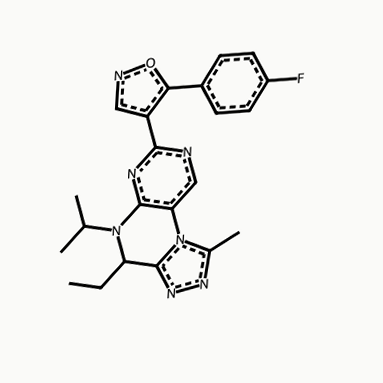 CCC1c2nnc(C)n2-c2cnc(-c3cnoc3-c3ccc(F)cc3)nc2N1C(C)C